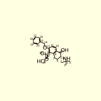 CC(C)(C)N[C@@H]1CCc2c(ccc(OCc3ccccc3)c2[N+](=O)[O-])[C@H]1O.Cl